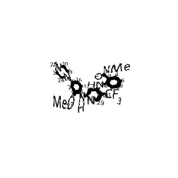 CNC(=O)c1ccccc1Nc1cc(Nc2ccc(N3CCN(C)CC3)cc2OC)ncc1C(F)(F)F